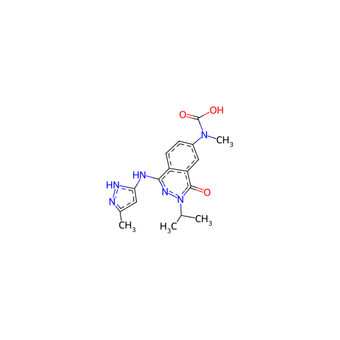 Cc1cc(Nc2nn(C(C)C)c(=O)c3cc(N(C)C(=O)O)ccc23)[nH]n1